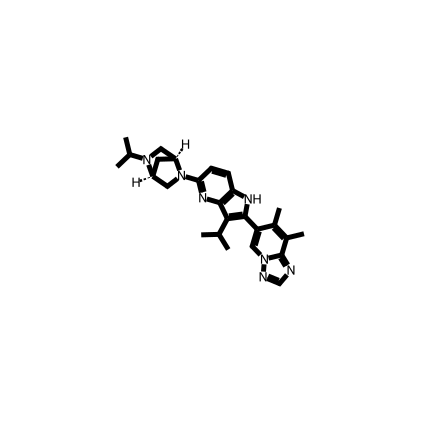 Cc1c(-c2[nH]c3ccc(N4C[C@@H]5C[C@H]4CN5C(C)C)nc3c2C(C)C)cn2ncnc2c1C